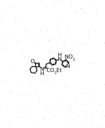 CCOC(=O)[C@H](Cc1ccc(Nc2ccncc2[N+](=O)[O-])cc1)NC1=CC(=O)C12CCCCC2